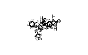 CC(C)OC[C@H](O)[C@@](Cc1ccccc1)(NC(=O)O[C@H]1CCOC1)NS(=O)(=O)c1ccc2[nH]c(=O)[nH]c2c1